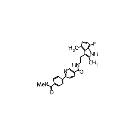 CNC(=O)c1ccc(-c2ccc(C(=O)NCCc3c(C)[nH]c4c(F)ccc(C)c34)cn2)cc1